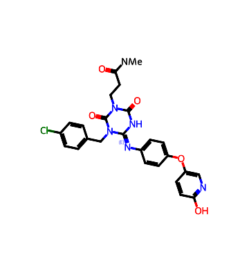 CNC(=O)CCn1c(=O)[nH]/c(=N\c2ccc(Oc3ccc(O)nc3)cc2)n(Cc2ccc(Cl)cc2)c1=O